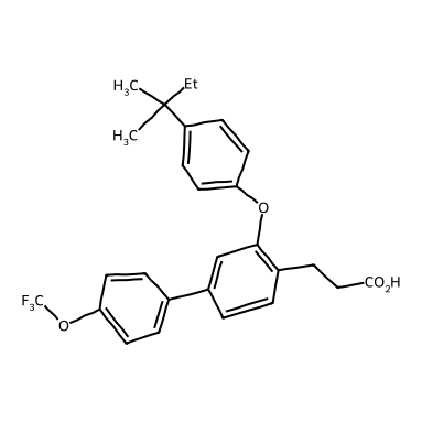 CCC(C)(C)c1ccc(Oc2cc(-c3ccc(OC(F)(F)F)cc3)ccc2CCC(=O)O)cc1